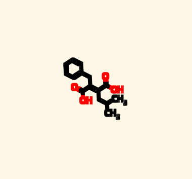 CC(C)C/C(C(=O)O)=C(/Cc1ccccc1)C(=O)O